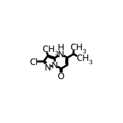 Cc1c(Cl)nn2c(=O)cc(C(C)C)[nH]c12